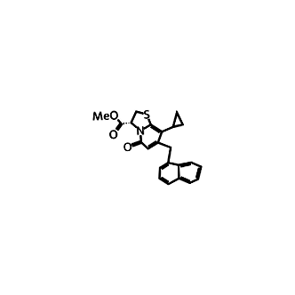 COC(=O)[C@@H]1CSc2c(C3CC3)c(Cc3cccc4ccccc34)cc(=O)n21